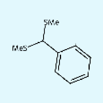 CSC(SC)c1[c]cccc1